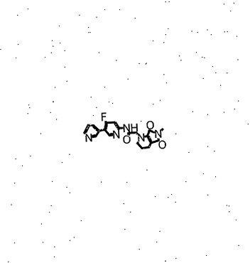 CN1C(=O)C2=C(C1=O)N(CC(=O)Nc1cc(F)c(-c3cccnc3)cn1)CCC2